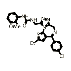 CCc1cc2c(s1)-n1c(nnc1CNC(=O)Nc1ccccc1OC)CN=C2c1ccc(Cl)cc1